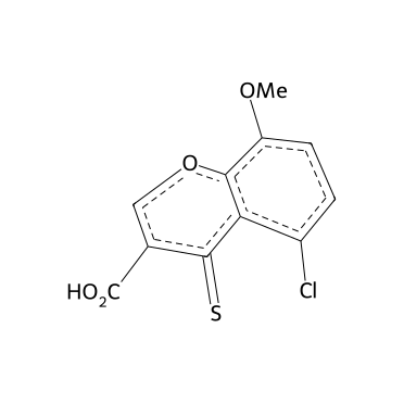 COc1ccc(Cl)c2c(=S)c(C(=O)O)coc12